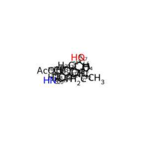 C=C(C)[C@@H]1CC[C@]2(CO)CC[C@]3(C)[C@H](CC[C@@H]4[C@@]5(C)CCC(=N)C(C)(COC(C)=O)[C@@H]5CC[C@]43C)[C@@H]12